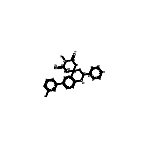 Cc1cccc(-c2ccc3c(c2)C2(CC(=O)N(C)C(=N)N2)CC(c2ccccc2)O3)c1